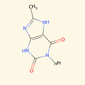 CCCn1c(=O)[nH]c2nc(C)[nH]c2c1=O